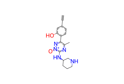 C#Cc1ccc(-c2n[n+]([O-])c(N[C@@H]3CCCNC3)nc2C)c(O)c1